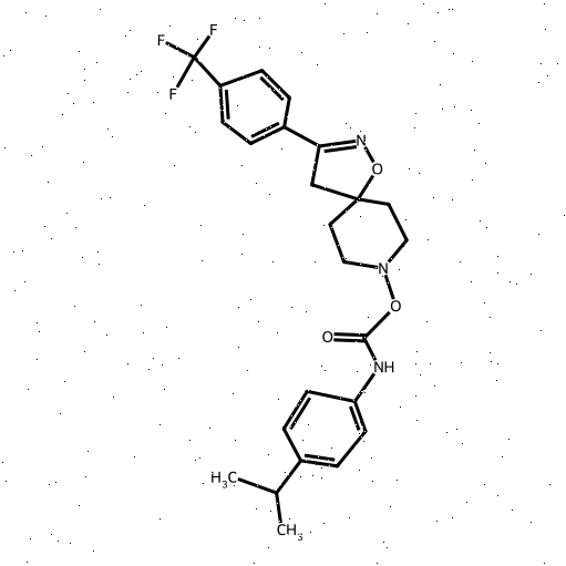 CC(C)c1ccc(NC(=O)ON2CCC3(CC2)CC(c2ccc(C(F)(F)F)cc2)=NO3)cc1